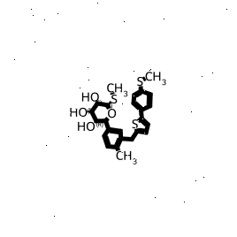 CSc1ccc(-c2ccc(Cc3cc(C4O[C@H](SC)[C@@H](O)[C@H](O)[C@H]4O)ccc3C)s2)cc1